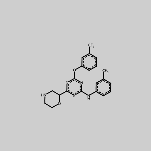 FC(F)(F)c1cccc(Nc2nc(Oc3cccc(C(F)(F)F)c3)nc(C3CNCCO3)n2)c1